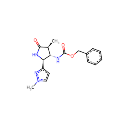 C[C@@H]1C(=O)N[C@H](c2ccn(C)n2)[C@H]1NC(=O)OCc1ccccc1